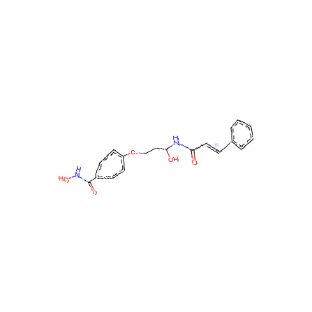 O=C(/C=C/c1ccccc1)NC(O)CCOc1ccc(C(=O)NO)cc1